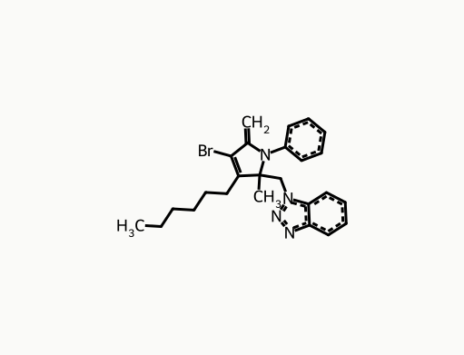 C=C1C(Br)=C(CCCCCC)C(C)(Cn2nnc3ccccc32)N1c1ccccc1